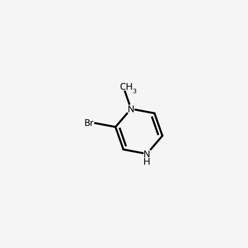 CN1C=CNC=C1Br